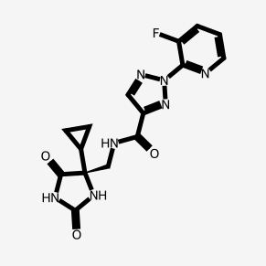 O=C1NC(=O)[C@](CNC(=O)c2cnn(-c3ncccc3F)n2)(C2CC2)N1